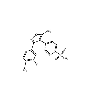 Cc1ccc(-c2noc(C)c2-c2ccc(S(N)(=O)=O)cc2)cc1F